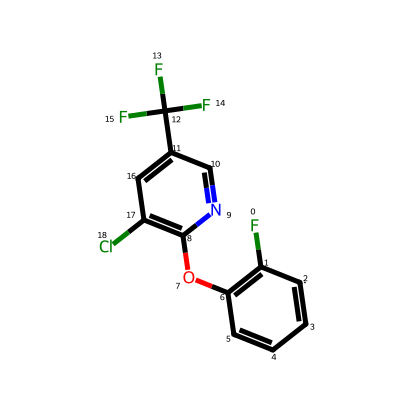 Fc1[c]cccc1Oc1ncc(C(F)(F)F)cc1Cl